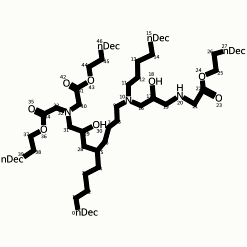 CCCCCCCCCCCCCCC(CCCCN(CCCCCCCCCCCCCC)CC(O)CNCC(=O)OCCCCCCCCCCCC)CC(O)CN(CC(=O)OCCCCCCCCCCCC)CC(=O)OCCCCCCCCCCCC